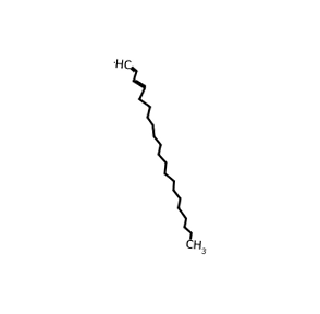 [CH]=CC=CCCCCCCCCCCCCCCCCC